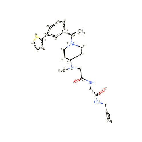 C#CCNC(=O)CNC(=O)CN(SC)C1CCN(C(C)c2cccc(-c3cccs3)c2)CC1